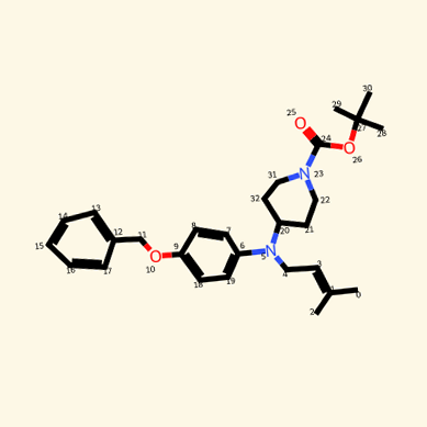 CC(C)=CCN(c1ccc(OCc2ccccc2)cc1)C1CCN(C(=O)OC(C)(C)C)CC1